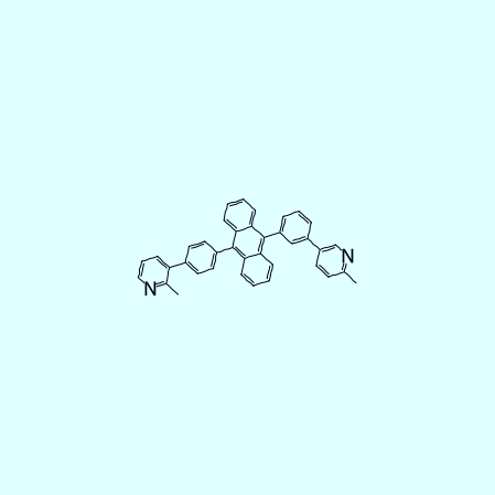 Cc1ccc(-c2cccc(-c3c4ccccc4c(-c4ccc(-c5cccnc5C)cc4)c4ccccc34)c2)cn1